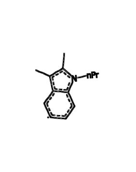 CCCn1c(C)c(C)c2c[c]ccc21